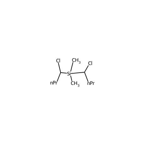 CCCC(Cl)[Si](C)(C)C(Cl)CCC